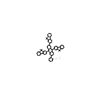 CC1(C)c2ccccc2-c2ccc(-c3ccc4c(-c5ccc6c(c5)C(C)(C)c5ccccc5-6)c5cc(-c6ccccc6[SiH3])ccc5c(-c5ccc6c(c5)C(C)(C)c5ccccc5-6)c4c3)cc21